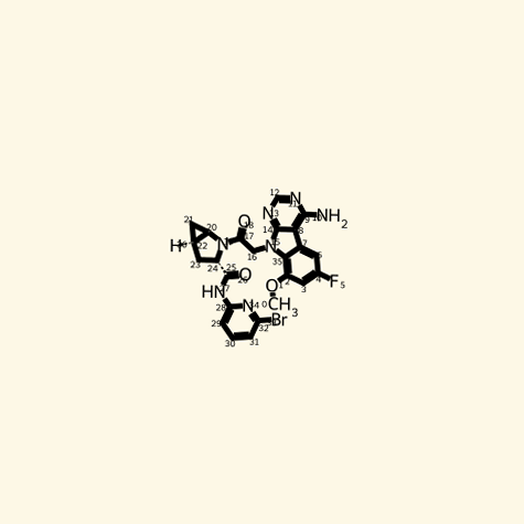 COc1cc(F)cc2c3c(N)ncnc3n(CC(=O)N3C4C[C@@H]4C[C@H]3C(=O)Nc3cccc(Br)n3)c12